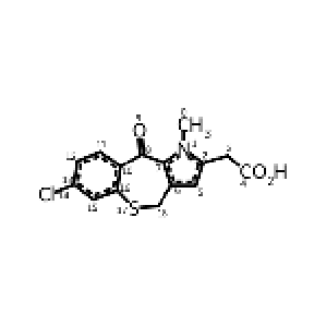 Cn1c(CC(=O)O)cc2c1C(=O)c1ccc(Cl)cc1SC2